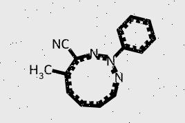 Cc1ccccnn(-c2ccccc2)nc1C#N